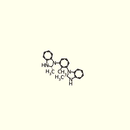 Cc1c(N2c3ccccc3N[C@H]2C)cccc1N1c2ccccc2N[C@@H]1C